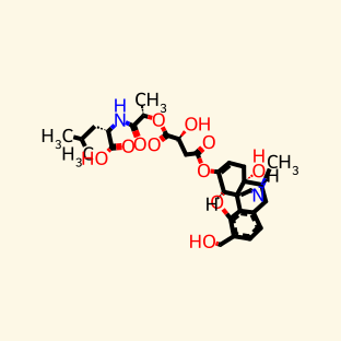 CC(C)C[C@H](NC(=O)[C@H](C)OC(=O)[C@@H](O)CC(=O)OC1=CC[C@@]2(O)[C@H]3Cc4ccc(CO)c5c4[C@@]2(CCN3C)[C@H]1O5)C(=O)O